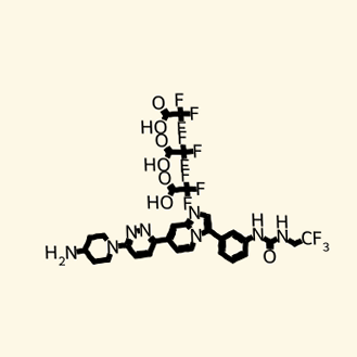 NC1CCN(c2ccc(-c3ccn4c(-c5cccc(NC(=O)NCC(F)(F)F)c5)cnc4c3)nn2)CC1.O=C(O)C(F)(F)F.O=C(O)C(F)(F)F.O=C(O)C(F)(F)F